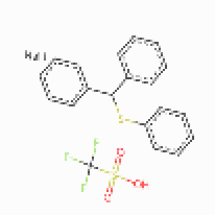 O=S(=O)(O)C(F)(F)F.[NaH].c1ccc(SC(c2ccccc2)c2ccccc2)cc1